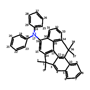 CC1(C)c2cc3ccccc3c3c2-c2c1cc(N(c1ccccc1)c1ccccc1)c1cccc(c21)C3(C)C